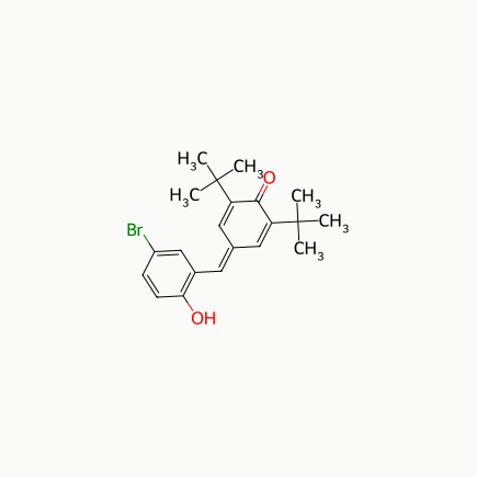 CC(C)(C)C1=CC(=Cc2cc(Br)ccc2O)C=C(C(C)(C)C)C1=O